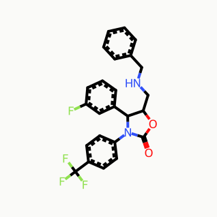 O=C1OC(CNCc2ccccc2)C(c2cccc(F)c2)N1c1ccc(C(F)(F)F)cc1